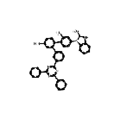 CCCCC1Nc2ccccc2N1c1ccc(-c2ccc(N)cc2-c2cccc(-c3nc(-c4ccccc4)nc(-c4ccccc4)n3)c2)c(N)c1